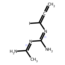 C=C=C(I)/N=C(N)\N=C(/C)N